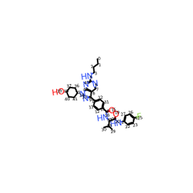 CCCCNc1ncc2c(-c3ccc(C(=O)N[C@H](C(=O)Nc4ccc(F)cc4)C(C)C)cc3)nn([C@H]3CC[C@@H](O)CC3)c2n1